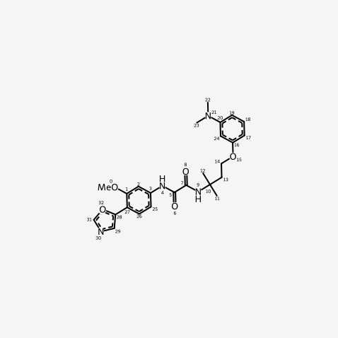 COc1cc(NC(=O)C(=O)NC(C)(C)CCOc2cccc(N(C)C)c2)ccc1-c1cnco1